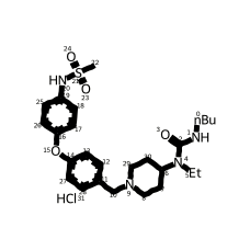 CCCCNC(=O)N(CC)C1CCN(Cc2ccc(Oc3ccc(NS(C)(=O)=O)cc3)cc2)CC1.Cl